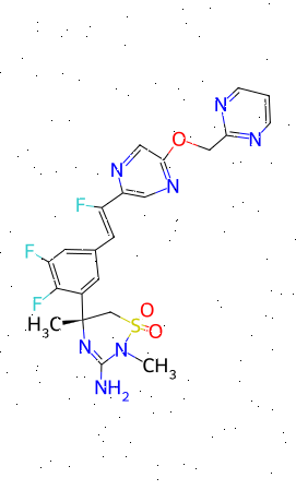 CN1C(N)=N[C@](C)(c2cc(/C=C(\F)c3cnc(OCc4ncccn4)cn3)cc(F)c2F)CS1(=O)=O